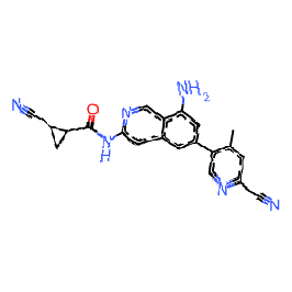 Cc1cc(C#N)ncc1-c1cc(N)c2cnc(NC(=O)C3CC3C#N)cc2c1